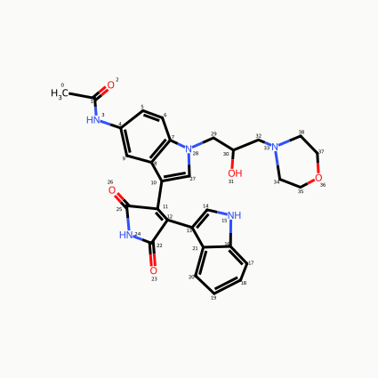 CC(=O)Nc1ccc2c(c1)c(C1=C(c3c[nH]c4ccccc34)C(=O)NC1=O)cn2CC(O)CN1CCOCC1